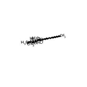 CCCCCCCCCCCCCCCCOCC(COC(=O)NC(=O)NCCN(C)C)OC.Cl